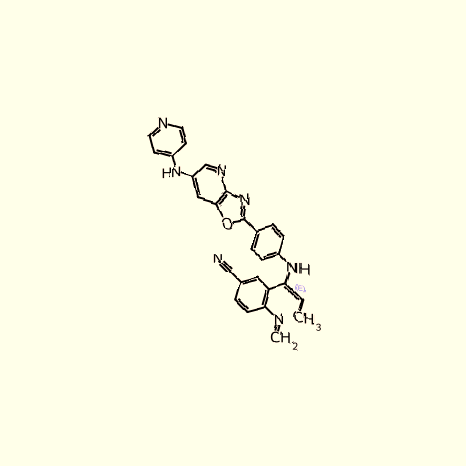 C=Nc1ccc(C#N)cc1/C(=C\C)Nc1ccc(-c2nc3ncc(Nc4ccncc4)cc3o2)cc1